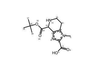 Cn1c(C(=O)O)nc2c1CCNC2C(=O)OC(C)(C)C